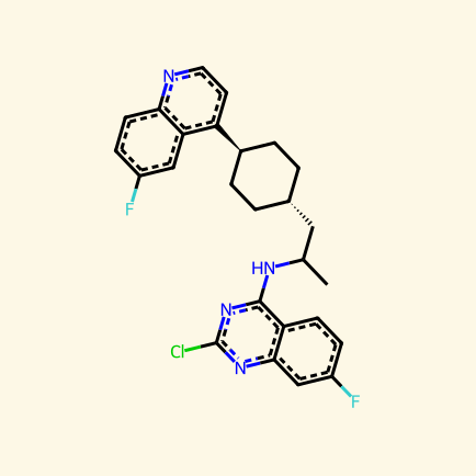 CC(C[C@H]1CC[C@H](c2ccnc3ccc(F)cc32)CC1)Nc1nc(Cl)nc2cc(F)ccc12